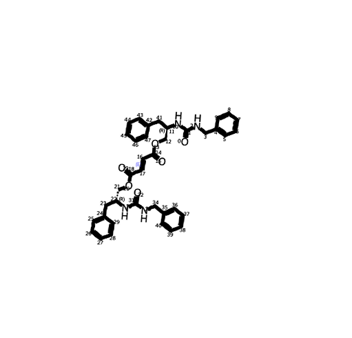 O=C(NCc1ccccc1)N[C@@H](COC(=O)/C=C/C(=O)OC[C@@H](Cc1ccccc1)NC(=O)NCc1ccccc1)Cc1ccccc1